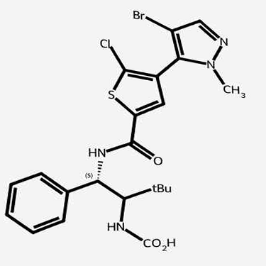 Cn1ncc(Br)c1-c1cc(C(=O)N[C@@H](c2ccccc2)C(NC(=O)O)C(C)(C)C)sc1Cl